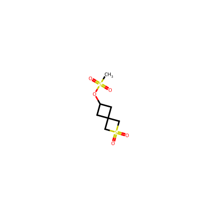 CS(=O)(=O)OC1CC2(C1)CS(=O)(=O)C2